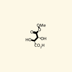 COOC(=O)[C@H](O)[C@@H](O)C(=O)O